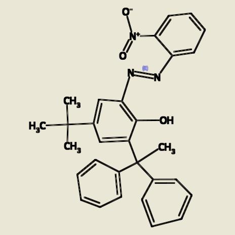 CC(C)(C)c1cc(/N=N/c2ccccc2[N+](=O)[O-])c(O)c(C(C)(c2ccccc2)c2ccccc2)c1